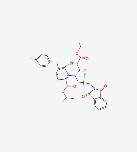 CCOC(=O)CC(=O)N(CC(F)(F)CN1C(=O)c2ccccc2C1=O)c1c(C(=O)OC(C)C)ncc(Cc2ccc(F)cc2)c1Br